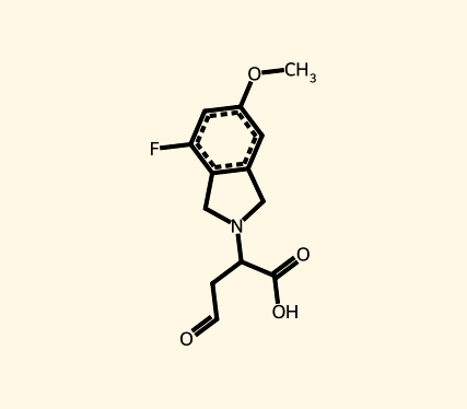 COc1cc(F)c2c(c1)CN(C(CC=O)C(=O)O)C2